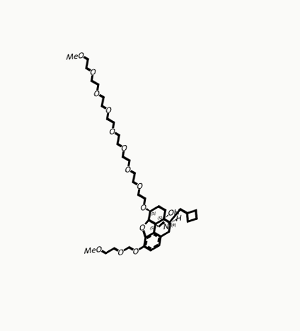 COCCOCCOCCOCCOCCOCCOCCOCCO[C@H]1CC[C@@]2(O)[C@H]3Cc4ccc(OCOCCOC)c5c4[C@@]2(CCN3CC2CCC2)C1O5